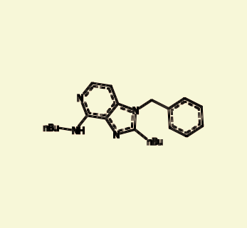 CCCCNc1nccc2c1nc(CCCC)n2Cc1ccccc1